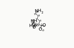 COC(=O)[C@@H](N)CCCCN.N=C=O